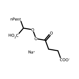 CCCCCC(OOC(=O)CCC(=O)[O-])C(=O)O.[Na+]